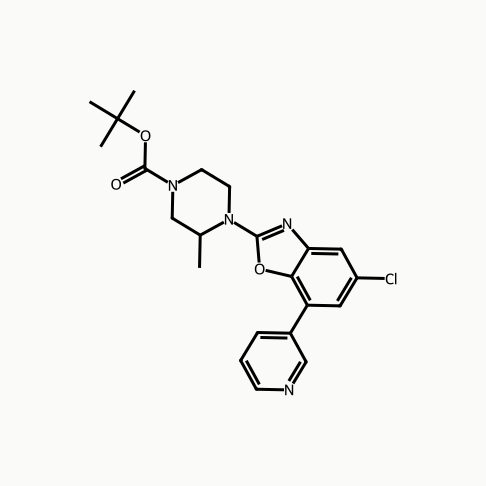 CC1CN(C(=O)OC(C)(C)C)CCN1c1nc2cc(Cl)cc(-c3cccnc3)c2o1